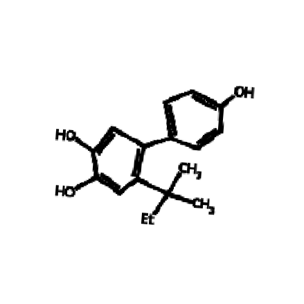 CCC(C)(C)c1cc(O)c(O)cc1-c1ccc(O)cc1